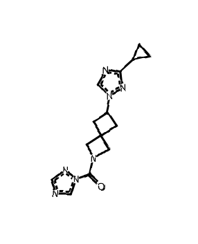 O=C(N1CC2(CC(n3cnc(C4CC4)n3)C2)C1)n1cncn1